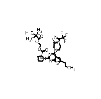 CCCc1cc2c(N3CCn4c(nnc4C(F)(F)F)C3)nc(N3CCC[C@H]3C(=O)OCOC(=O)C(C)(C)C)nc2s1